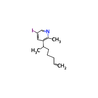 C=CCCCC(C)c1cc(I)cnc1C